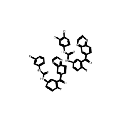 O=C(Nc1ccc(Cl)c(Cl)c1)Nc1ccc(F)c(C(=O)c2ccc3nccnc3c2)c1.O=C(Nc1cccc(F)c1)Nc1ccc(F)c(C(=O)c2ccc3nccnc3c2)c1